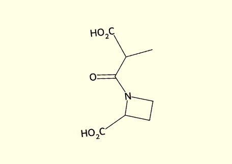 CC(C(=O)O)C(=O)N1CCC1C(=O)O